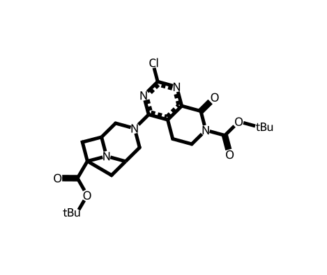 CC(C)(C)OC(=O)N1CCc2c(nc(Cl)nc2N2CC3CC4(C(=O)OC(C)(C)C)CC(C2)N34)C1=O